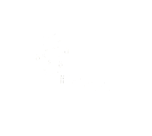 CCCCCCCCNC(=O)/C=C\SC(=O)c1ccccc1CCl